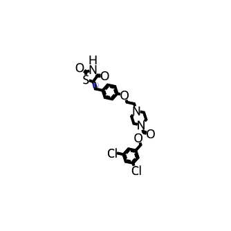 O=C1NC(=O)/C(=C\c2ccc(OCCN3CCN(C(=O)OCc4cc(Cl)cc(Cl)c4)CC3)cc2)S1